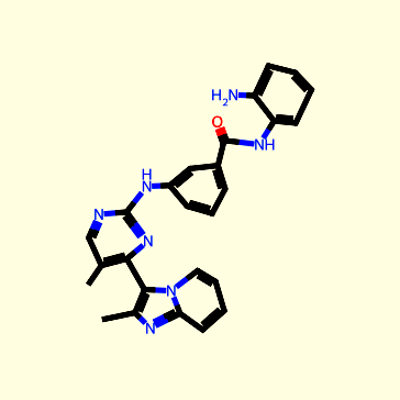 Cc1cnc(Nc2cccc(C(=O)Nc3ccccc3N)c2)nc1-c1c(C)nc2ccccn12